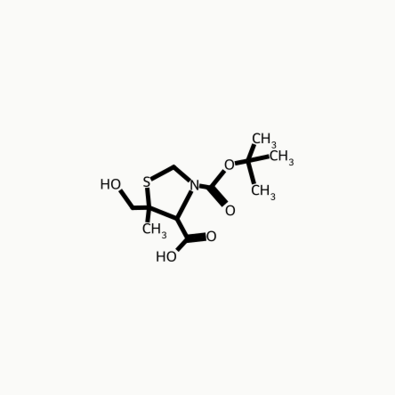 CC(C)(C)OC(=O)N1CSC(C)(CO)C1C(=O)O